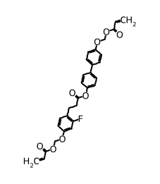 C=CC(=O)OCOc1ccc(-c2ccc(OC(=O)CCc3ccc(OCOC(=O)C=C)cc3F)cc2)cc1